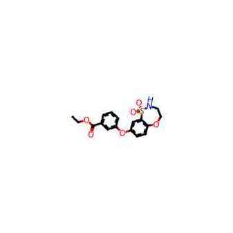 CCOC(=O)c1cccc(Oc2ccc3c(c2)S(=O)(=O)NCCO3)c1